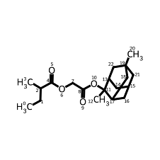 CCC(C)C(=O)OCC(=O)OC1(C)C2CC3CC1CC(C)(C3)C2